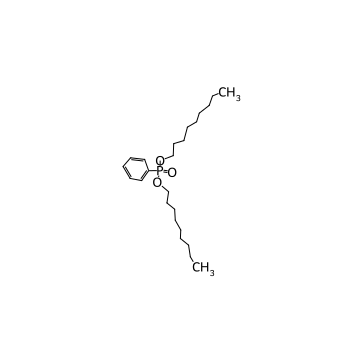 CCCCCCCCCOP(=O)(OCCCCCCCCC)c1ccccc1